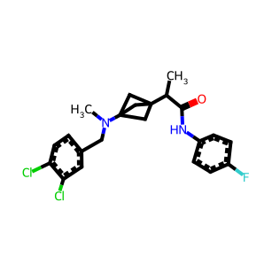 CC(C(=O)Nc1ccc(F)cc1)C12CC(N(C)Cc3ccc(Cl)c(Cl)c3)(C1)C2